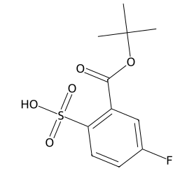 CC(C)(C)OC(=O)c1cc(F)ccc1S(=O)(=O)O